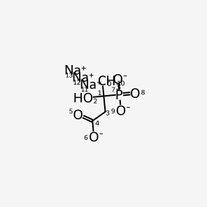 CC(O)(CC(=O)[O-])P(=O)([O-])[O-].[Na+].[Na+].[Na+]